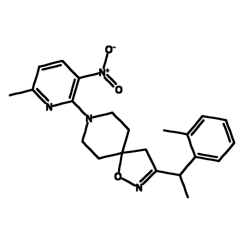 Cc1ccc([N+](=O)[O-])c(N2CCC3(CC2)CC(C(C)c2ccccc2C)=NO3)n1